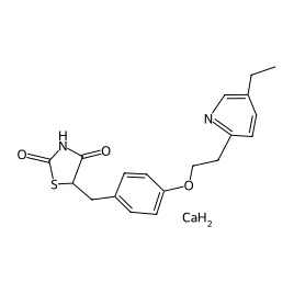 CCc1ccc(CCOc2ccc(CC3SC(=O)NC3=O)cc2)nc1.[CaH2]